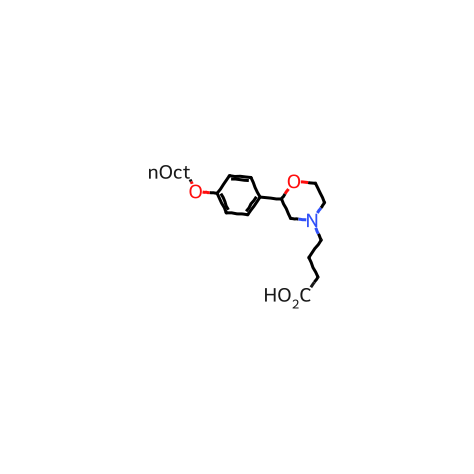 CCCCCCCCOc1ccc(C2CN(CCCC(=O)O)CCO2)cc1